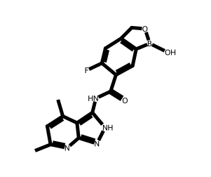 Cc1cc(C)c2c(NC(=O)c3cc4c(cc3F)COB4O)[nH]nc2n1